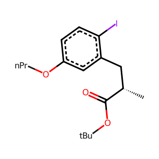 CCCOc1ccc(I)c(C[C@H](C)C(=O)OC(C)(C)C)c1